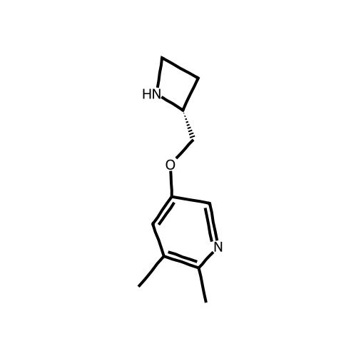 Cc1cc(OC[C@H]2CCN2)cnc1C